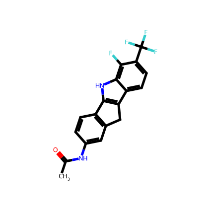 CC(=O)Nc1ccc2c(c1)Cc1c-2[nH]c2c(F)c(C(F)(F)F)ccc12